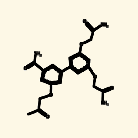 CC(=O)COc1cc(C(N)=O)cc(-c2cc(OCC(N)=O)cc(OCC(N)=O)c2)c1